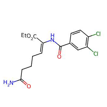 CCOC(=O)C(=CCCCC(N)=O)NC(=O)c1ccc(Cl)c(Cl)c1